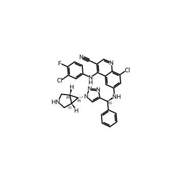 N#Cc1cnc2c(Cl)cc(N[C@@H](c3ccccc3)c3cn([C@@H]4[C@@H]5CNC[C@@H]54)nn3)cc2c1Nc1ccc(F)c(Cl)c1